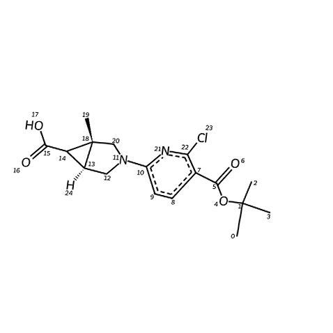 CC(C)(C)OC(=O)c1ccc(N2C[C@H]3C(C(=O)O)[C@]3(C)C2)nc1Cl